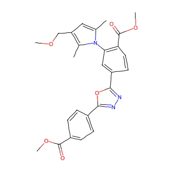 COCc1cc(C)n(-c2cc(-c3nnc(-c4ccc(C(=O)OC)cc4)o3)ccc2C(=O)OC)c1C